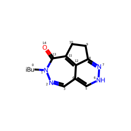 CCC(C)N1N=CC2=CNN=C3CCC(=C23)C1=O